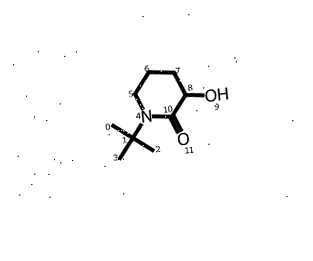 CC(C)(C)N1CCCC(O)C1=O